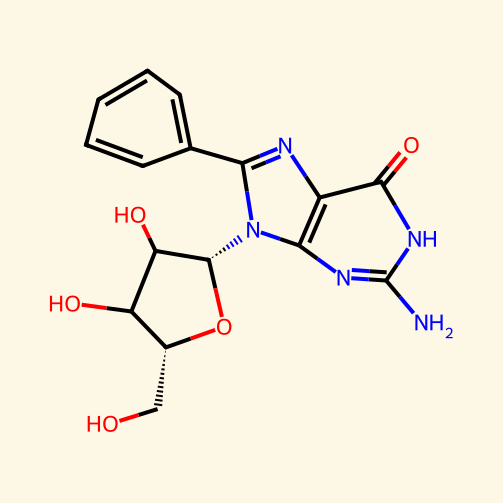 Nc1nc2c(nc(-c3ccccc3)n2[C@@H]2O[C@H](CO)C(O)C2O)c(=O)[nH]1